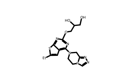 CCc1cc2c(N3CCn4cnnc4C3)nc(OCC(O)CO)nc2s1